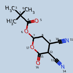 CC(C)(C)C(=O)OC1CC(C#N)C(C#N)C(=O)O1